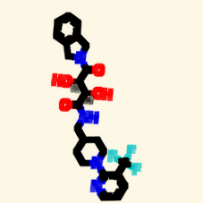 O=C(NCC1CCN(c2ncccc2C(F)(F)F)CC1)[C@H](O)[C@@H](O)C(=O)N1Cc2ccccc2C1